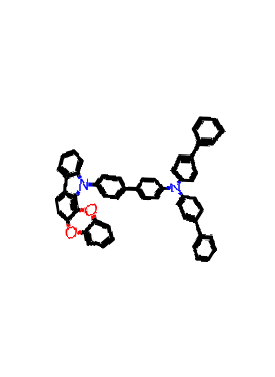 c1ccc(-c2ccc(N(c3ccc(-c4ccccc4)cc3)c3ccc(-c4ccc(-n5c6ccccc6c6ccc7c(c65)Oc5ccccc5O7)cc4)cc3)cc2)cc1